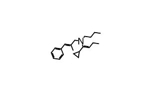 CC/C=C(/C1CC1)N(CCCC)C/C(C)=C/c1ccccc1